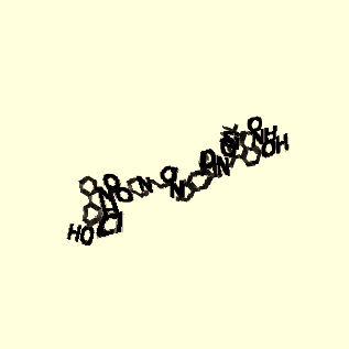 COc1cc2c(cc1CNCC(O[Si](C)(C)C(C)(C)C)c1ccc(O)c3[nH]c(=O)ccc13)CCN2C(=O)CCN1CCC(OC(=O)Nc2ccccc2-c2ccc(O)c(Cl)c2)CC1